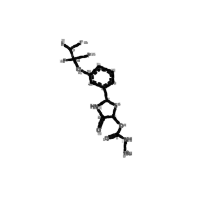 CC(C)(C)NC(=O)OC1SC(c2cccc(OC(F)(F)C(F)F)c2)NC1=O